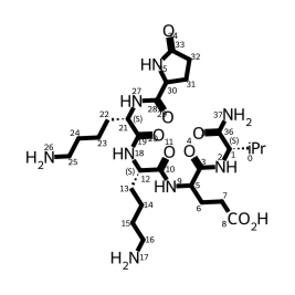 CC(C)[C@H](NC(=O)C(CCC(=O)O)NC(=O)[C@H](CCCCN)NC(=O)[C@H](CCCCN)NC(=O)C1CCC(=O)N1)C(N)=O